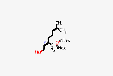 CC(C)=CCC/C(C)=C/CO.CCCCCCOCCCCCC